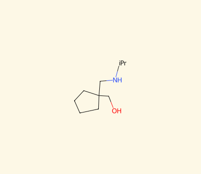 CC(C)NCC1(CO)CCCC1